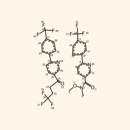 CON(C)C(=O)c1ccc(-c2ccc(C(F)(F)F)cc2)nc1.O=C(CCC(F)(F)F)c1ccc(-c2ccc(C(F)(F)F)cc2)nc1